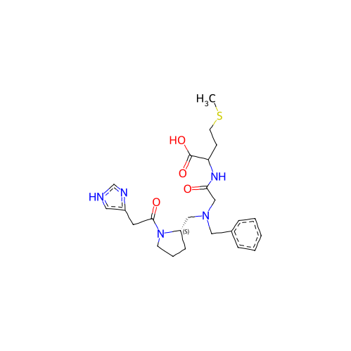 CSCCC(NC(=O)CN(Cc1ccccc1)C[C@@H]1CCCN1C(=O)Cc1c[nH]cn1)C(=O)O